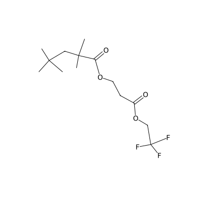 CC(C)(C)CC(C)(C)C(=O)OCCC(=O)OCC(F)(F)F